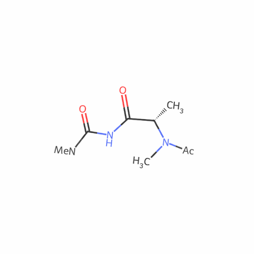 CNC(=O)NC(=O)[C@H](C)N(C)C(C)=O